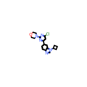 Clc1cc(-c2ccc3ncn(C4CCC4)c3c2)nc(N2CCOCC2)n1